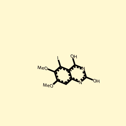 COc1cc2nc(O)nc(O)c2c(I)c1OC